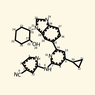 N#Cc1ccnc(Nc2cc(C3CC3)cc(-c3ccc4ncn([C@H]5CCCC[C@@H]5O)c4c3)n2)c1